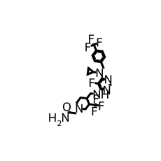 NC(=O)CN1CCC(CNc2ncnc(N(Cc3ccc(C(F)(F)F)cc3)C3CC3)c2F)C(C(F)(F)F)C1